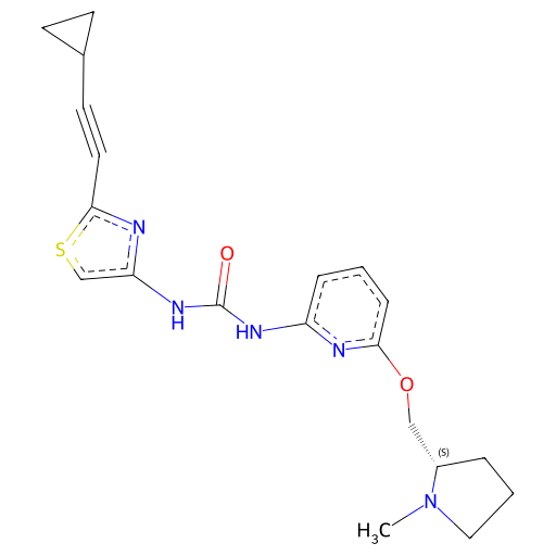 CN1CCC[C@H]1COc1cccc(NC(=O)Nc2csc(C#CC3CC3)n2)n1